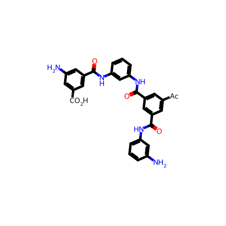 CC(=O)c1cc(C(=O)Nc2cccc(N)c2)cc(C(=O)Nc2cccc(NC(=O)c3cc(N)cc(C(=O)O)c3)c2)c1